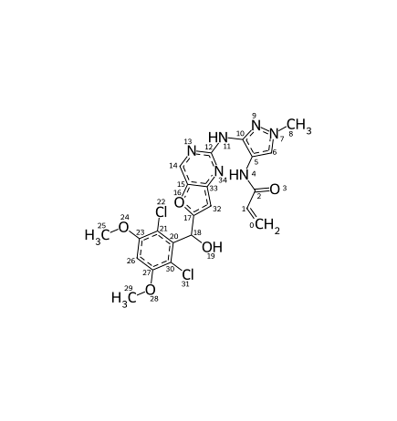 C=CC(=O)Nc1cn(C)nc1Nc1ncc2oc(C(O)c3c(Cl)c(OC)cc(OC)c3Cl)cc2n1